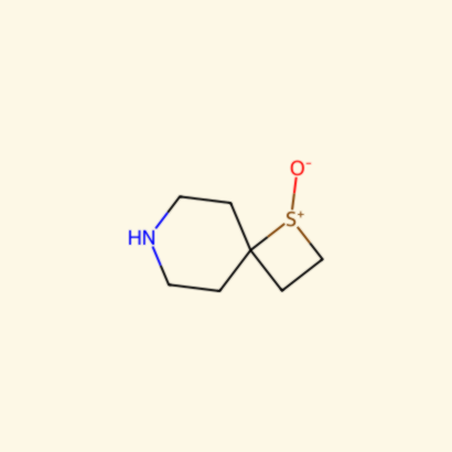 [O-][S+]1CCC12CCNCC2